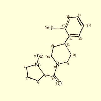 CC(=O)N1CCCC1C(=O)N1CCC(c2ccccc2I)CC1